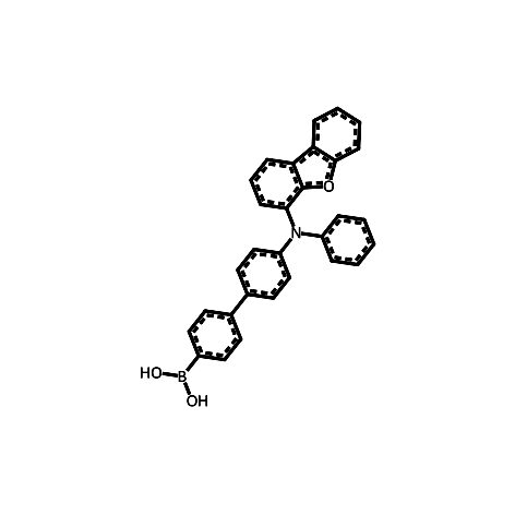 OB(O)c1ccc(-c2ccc(N(c3ccccc3)c3cccc4c3oc3ccccc34)cc2)cc1